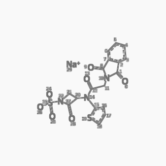 O=C1c2ccccc2C(=O)N1CC(=O)N(c1cccs1)C1CN(S(=O)(=O)[O-])C1=O.[Na+]